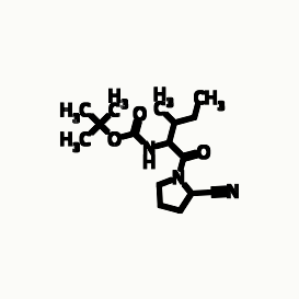 CCC(C)C(NC(=O)OC(C)(C)C)C(=O)N1CCCC1C#N